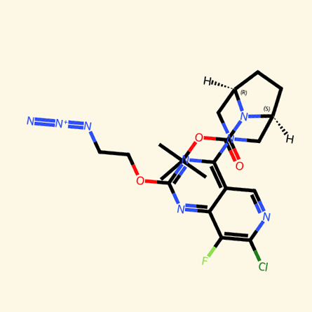 CC(C)(C)OC(=O)N1[C@@H]2CC[C@H]1CN(c1nc(OCCN=[N+]=[N-])nc3c(F)c(Cl)ncc13)C2